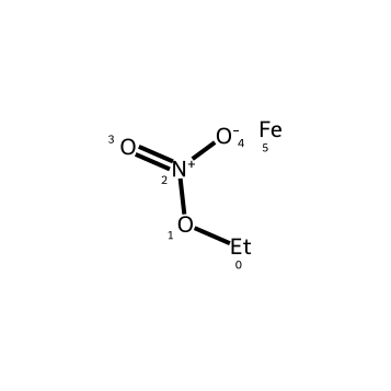 CCO[N+](=O)[O-].[Fe]